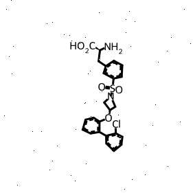 N[C@@H](Cc1cccc(S(=O)(=O)N2CC(Oc3ccccc3-c3ccccc3Cl)C2)c1)C(=O)O